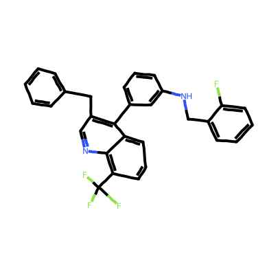 Fc1ccccc1CNc1cccc(-c2c(Cc3ccccc3)cnc3c(C(F)(F)F)cccc23)c1